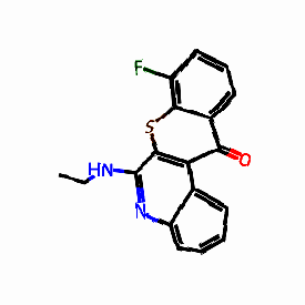 CCNc1nc2ccccc2c2c(=O)c3cccc(F)c3sc12